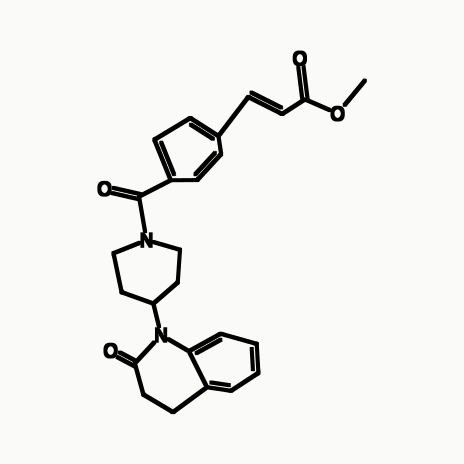 COC(=O)C=Cc1ccc(C(=O)N2CCC(N3C(=O)CCc4ccccc43)CC2)cc1